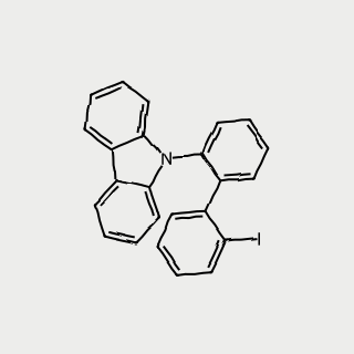 Ic1ccccc1-c1ccccc1-n1c2ccccc2c2ccccc21